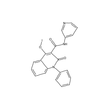 O=C(Nc1cccnc1)c1c(OI)c2ccccc2n(-c2ccccc2)c1=O